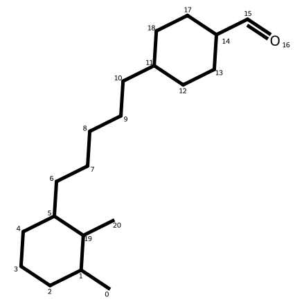 CC1CCCC(CCCCCC2CCC(C=O)CC2)C1C